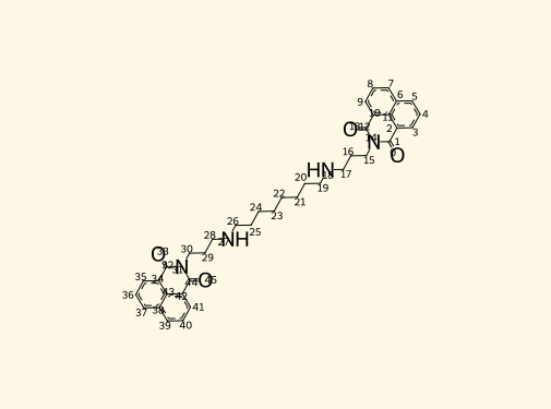 O=C1c2cccc3cccc(c23)C(=O)N1CCCNCCCCCCCCNCCCN1C(=O)c2cccc3cccc(c23)C1=O